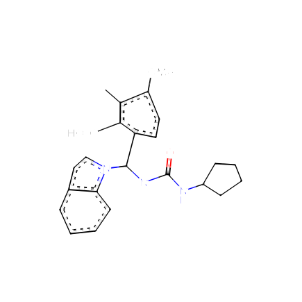 COc1ccc(C(NC(=O)NC2CCCC2)n2ccc3ccccc32)c(C(=O)O)c1C